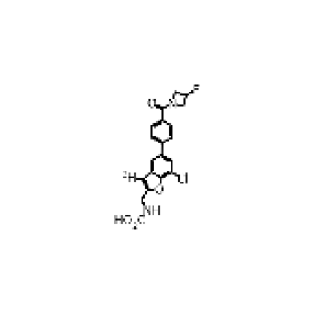 [2H]c1c(CNC(=O)O)oc2c(Cl)cc(-c3ccc(C(=O)N4CC(F)C4)cc3)cc12